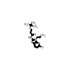 C=CCn1c(NC(=O)CCOC(C)(C)C)nc2ccc(Cl)nc21